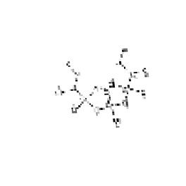 CCC(Cl)C(Cl)(Cl)OP(=O)(O)OC(Cl)(Cl)C(Cl)CC